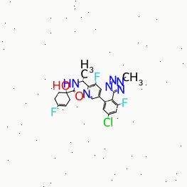 C[C@@H](NC(=O)C1(O)CC=C(F)CC1)c1ncc(-c2cc(Cl)cc(F)c2-c2nnn(C)n2)cc1F